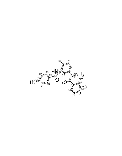 Cc1ccc(N(N)C(=O)c2cccc(C)c2C)cc1NC(=O)c1ccc(O)cc1